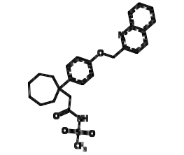 O=C(CC1(c2ccc(OCc3ccc4ccccc4n3)cc2)CCCCCC1)NS(=O)(=O)C(F)(F)F